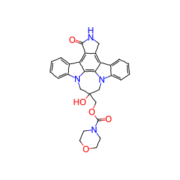 O=C1NCc2c1c1c3ccccc3n3c1c1c2c2ccccc2n1CC(O)(COC(=O)N1CCOCC1)C3